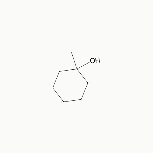 CC1(O)[CH]C[CH]CC1